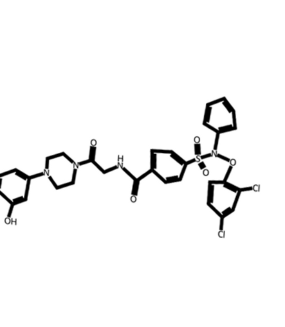 O=C(NCC(=O)N1CCN(c2cccc(O)c2)CC1)c1ccc(S(=O)(=O)N(Oc2ccc(Cl)cc2Cl)c2ccccc2)cc1